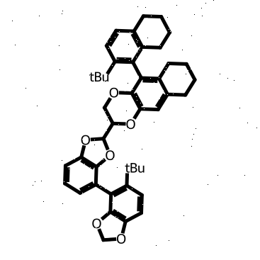 CC(C)(C)c1ccc2c(c1-c1c3c(cc4c1OCC(C1Oc5cccc(-c6c(C(C)(C)C)ccc7c6OCO7)c5O1)O4)CCCC3)CCCC2